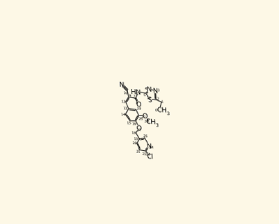 CCc1nnc(NC(=O)C(C#N)=Cc2ccc(OCc3ccc(Cl)nc3)c(OC)c2)s1